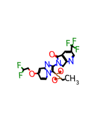 CCS(=O)(=O)c1c(N2Cc3ncc(C(F)(F)F)cc3C2=O)nc2cc(OCC(F)F)ccn12